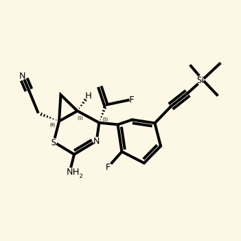 C=C(F)[C@]1(c2cc(C#C[Si](C)(C)C)ccc2F)N=C(N)S[C@@]2(CC#N)C[C@H]21